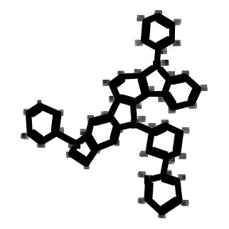 c1ccc(-n2ccc3cc4c(cc32)c2ccc3c(c5ccccc5n3-c3ccccc3)c2n4-c2cccc(-c3ccccn3)c2)cc1